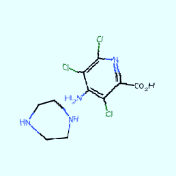 C1CNCCN1.Nc1c(Cl)c(Cl)nc(C(=O)O)c1Cl